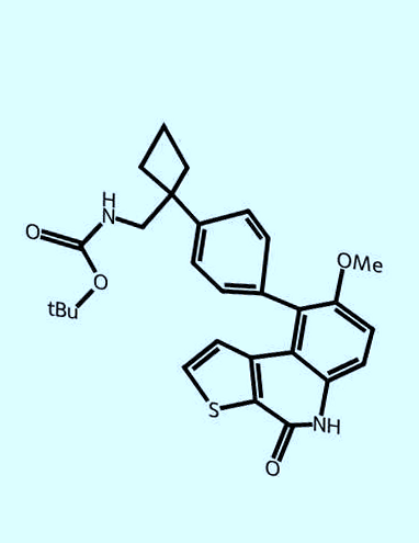 COc1ccc2[nH]c(=O)c3sccc3c2c1-c1ccc(C2(CNC(=O)OC(C)(C)C)CCC2)cc1